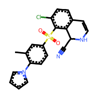 Cc1cc(S(=O)(=O)c2c(Cl)ccc3c2C(C#N)NC=C3)ccc1-n1cccc1